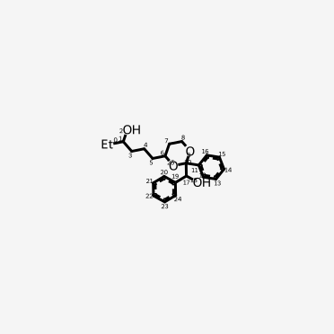 CCC(O)CCCC1CCOC(c2ccccc2)(C(O)c2ccccc2)O1